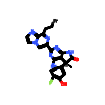 CC(C)CCc1nc(-c2nc(N)c3c(n2)NC(=O)[C@@]3(C)c2ccc(F)c(O)c2)cn2ccnc12